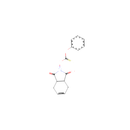 O=C1C2CC=CCC2C(=O)N1OC(=S)Oc1ccccc1